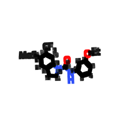 CCOc1cccc(NC(=O)N2CCc3cc(SC)c(C(F)(F)F)cc32)c1